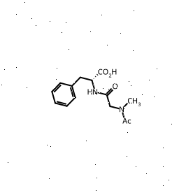 CC(=O)N(C)CC(=O)N[C@H](Cc1ccccc1)C(=O)O